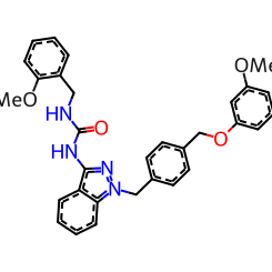 COc1cccc(OCc2ccc(Cn3nc(NC(=O)NCc4ccccc4OC)c4ccccc43)cc2)c1